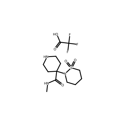 CNC(=O)C1(N2CCCCS2(=O)=O)CCNCC1.O=C(O)C(F)(F)F